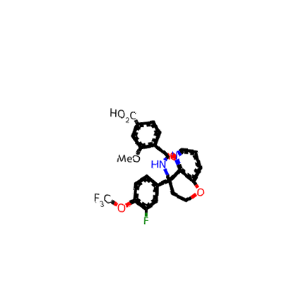 COc1cc(C(=O)O)ccc1C(=O)NC1(c2ccc(OC(F)(F)F)c(F)c2)CCOc2cccnc21